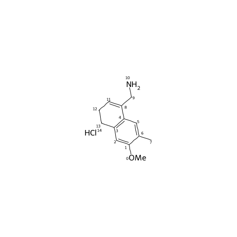 COc1cc2c(cc1C)C(CN)=CCC2.Cl